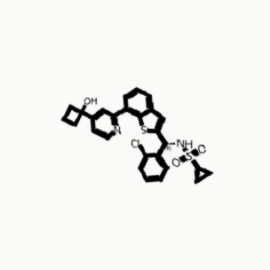 O=S(=O)(N[C@@H](c1cc2cccc(-c3cc(C4(O)CCC4)ccn3)c2s1)c1ccccc1Cl)C1CC1